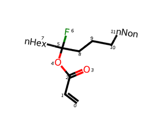 C=CC(=O)OC(F)(CCCCCC)CCCCCCCCCCCC